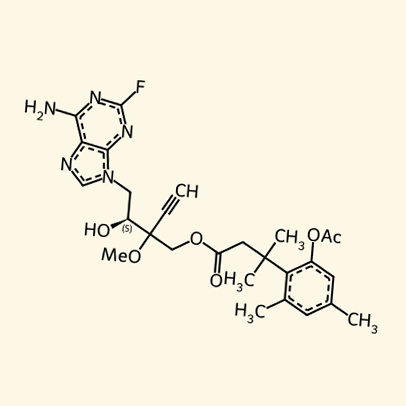 C#CC(COC(=O)CC(C)(C)c1c(C)cc(C)cc1OC(C)=O)(OC)[C@@H](O)Cn1cnc2c(N)nc(F)nc21